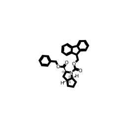 O=C(OCc1ccccc1)[C@@H]1C[C@@H]2CCC[C@@H]2N1C(=O)OCC1c2ccccc2-c2ccccc21